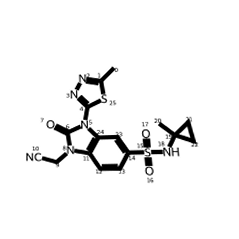 Cc1nnc(-n2c(=O)n(CC#N)c3ccc(S(=O)(=O)NC4(C)CC4)cc32)s1